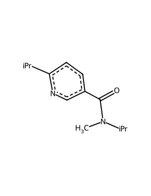 CC(C)c1ccc(C(=O)N(C)C(C)C)cn1